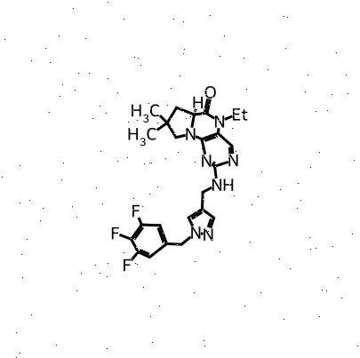 CCN1C(=O)[C@@H]2CC(C)(C)CN2c2nc(NCc3cnn(Cc4cc(F)c(F)c(F)c4)c3)ncc21